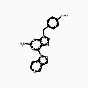 COc1ccc(Cn2cnc3c(-n4ncc5cnccc54)nc(N)nc32)cc1